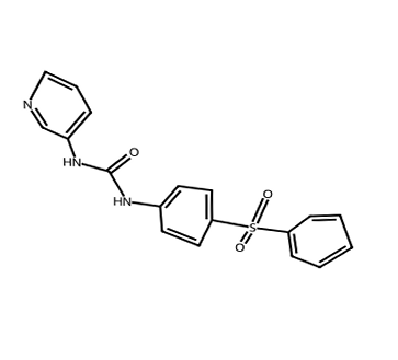 O=C(Nc1ccc(S(=O)(=O)c2ccccc2)cc1)Nc1cccnc1